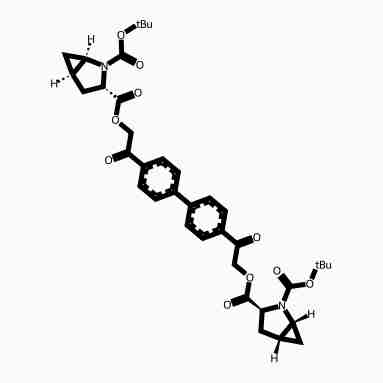 CC(C)(C)OC(=O)N1[C@@H]2C[C@@H]2C[C@H]1C(=O)OCC(=O)c1ccc(-c2ccc(C(=O)COC(=O)[C@@H]3C[C@H]4C[C@H]4N3C(=O)OC(C)(C)C)cc2)cc1